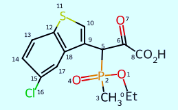 CCOP(C)(=O)C(C(=O)C(=O)O)c1csc2ccc(Cl)cc12